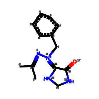 CC(C)=N[N+](Cc1ccccc1)=C1NCNC1=O